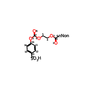 CCCCCCCCCC(=O)OCCOC(=O)Oc1ccc(S(=O)(=O)O)cc1